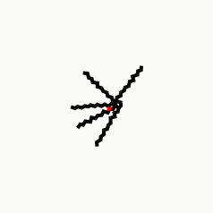 CCCCCCCCCCCCCC1CCC(CCCCCCCCCCCCC)(CCCCCCCCCCCCC)C1(CCCCCCCCCCCCC)CCCCCCCCCCCCC